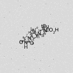 Cn1ccc2c(N3CCC(=O)NC3=O)ccc(N3CCN(C(=O)O)C(C(C)(C)C)C3)c21